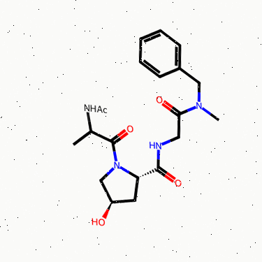 CC(=O)NC(C)C(=O)N1C[C@H](O)C[C@H]1C(=O)NCC(=O)N(C)Cc1ccccc1